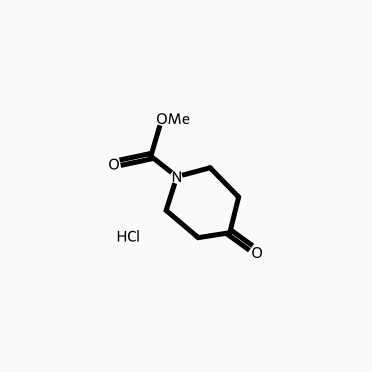 COC(=O)N1CCC(=O)CC1.Cl